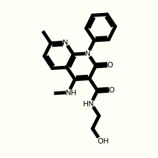 CNc1c(C(=O)NCCO)c(=O)n(-c2ccccc2)c2nc(C)ccc12